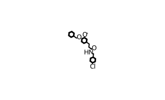 COc1cc(CCC(=O)NCc2ccc(Cl)cc2)ccc1OCc1ccccc1